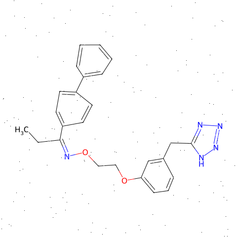 CCC(=NOCCOc1cccc(Cc2nnn[nH]2)c1)c1ccc(-c2ccccc2)cc1